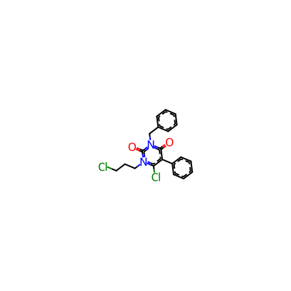 O=c1c(-c2ccccc2)c(Cl)n(CCCCl)c(=O)n1Cc1ccccc1